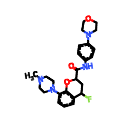 CN1CCN(c2cccc3c2OC(C(=O)Nc2ccc(N4CCOCC4)cc2)CC3F)CC1